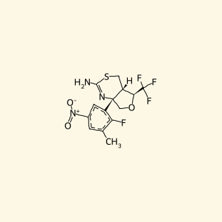 Cc1cc([N+](=O)[O-])cc([C@]23CO[C@H](C(F)(F)F)[C@H]2CSC(N)=N3)c1F